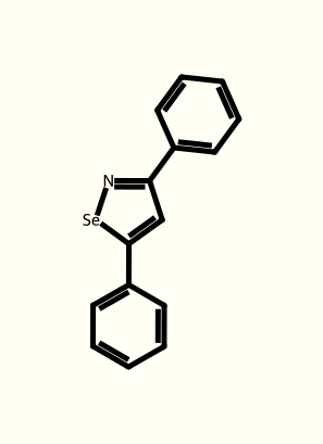 c1ccc(-c2cc(-c3ccccc3)[se]n2)cc1